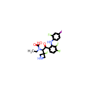 CCN(C(=O)O)C(C(=O)c1ccc(F)c(F)c1Nc1ccc(I)cc1F)C1(F)CNC1